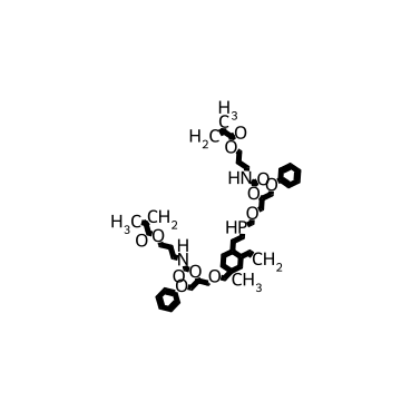 C=CC1CC(C)(COCC(COc2ccccc2)OC(=O)NCCCOC(=O)C(=C)C)CCC1CCPCOCC(COc1ccccc1)OC(=O)NCCCOC(=O)C(=C)C